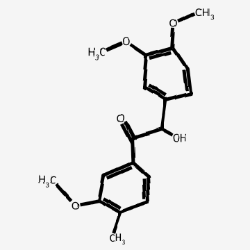 COc1cc(C(=O)C(O)c2ccc(OC)c(OC)c2)ccc1C